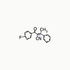 C/C(=C(/C#N)C(=O)c1ccc(F)cc1)c1ccccc1